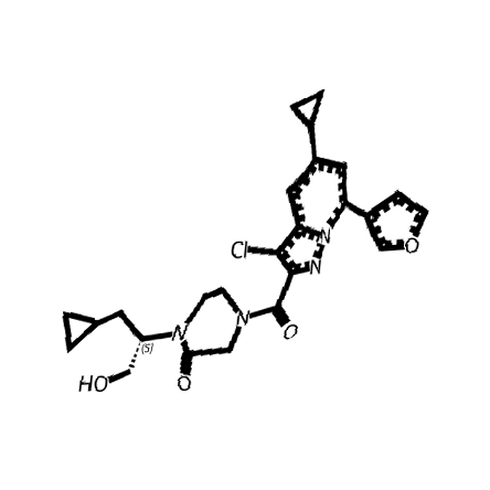 O=C(c1nn2c(-c3ccoc3)cc(C3CC3)cc2c1Cl)N1CCN([C@H](CO)CC2CC2)C(=O)C1